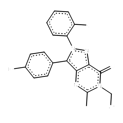 Cc1nc2c(-c3ccc(O)cc3)n(-c3ccccc3Cl)nc2c(=O)n1CC(F)(F)F